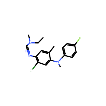 CCN(C)/C=N\c1cc(C)c(N(C)c2ccc(F)cc2)cc1Cl